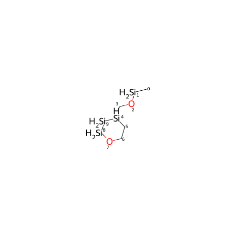 C[SiH2]OC[SiH]1CCO[SiH2][SiH2]1